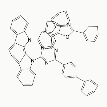 c1ccc(-c2ccc(-c3nc(-c4cccc5nc(-c6ccccc6)oc45)nc(-n4c5ccccc5c5ccc6c7ccccc7n(-c7cccc(-c8ccccc8)c7)c6c54)n3)cc2)cc1